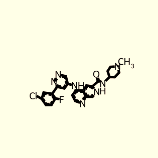 CN1CCC(NC(=O)c2cc3c(Nc4cnnc(-c5cc(Cl)ccc5F)c4)ccnc3cn2)CC1